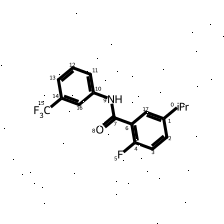 CC(C)c1ccc(F)c(C(=O)Nc2cccc(C(F)(F)F)c2)c1